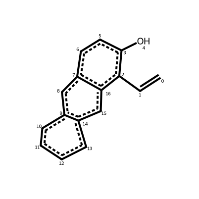 C=Cc1c(O)ccc2cc3ccccc3cc12